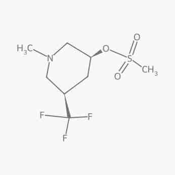 CN1C[C@@H](OS(C)(=O)=O)C[C@@H](C(F)(F)F)C1